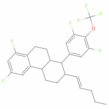 CCCC=CC1CCC2c3cc(F)cc(F)c3CCC2C1c1cc(F)c(OC(F)(F)F)c(F)c1